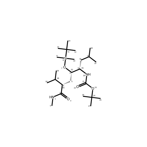 CNC(=O)[C@@H](C[C@H](O[Si](C)(C)C(C)(C)C)[C@H](CC(C)C)NC(=O)OC(C)(C)C)C(C)C